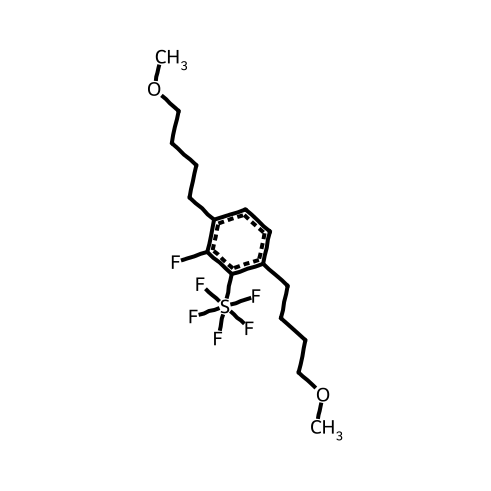 COCCCCc1ccc(CCCCOC)c(S(F)(F)(F)(F)F)c1F